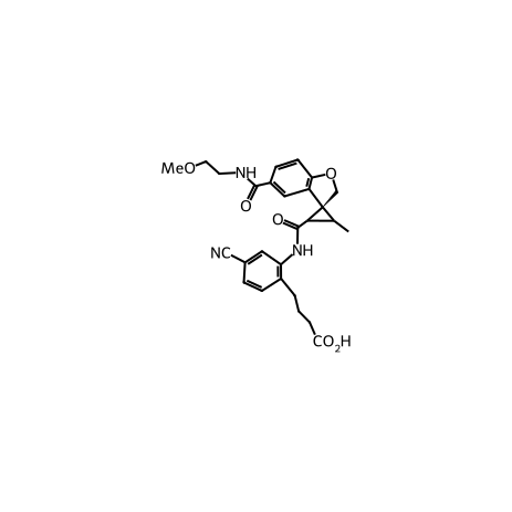 COCCNC(=O)c1ccc2c(c1)[C@]1(CO2)C(C)C1C(=O)Nc1cc(C#N)ccc1CCCC(=O)O